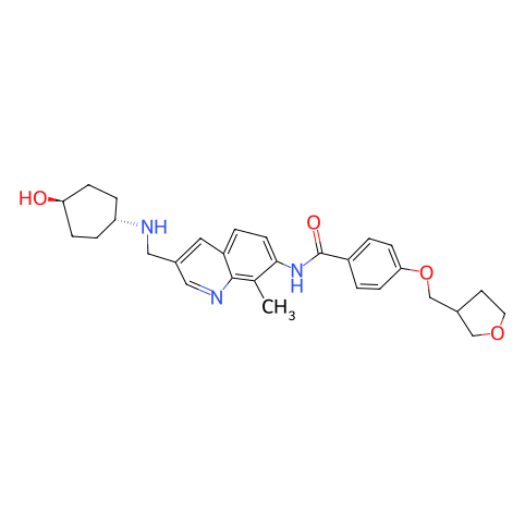 Cc1c(NC(=O)c2ccc(OCC3CCOC3)cc2)ccc2cc(CN[C@H]3CC[C@H](O)CC3)cnc12